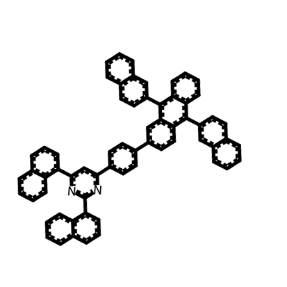 c1ccc2cc(-c3c4ccccc4c(-c4ccc5ccccc5c4)c4cc(-c5ccc(-c6cc(-c7cccc8ccccc78)nc(-c7cccc8ccccc78)n6)cc5)ccc34)ccc2c1